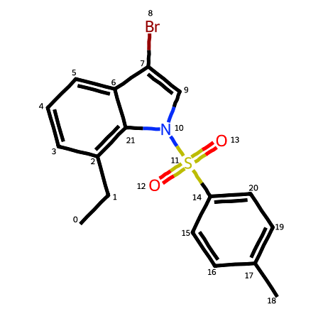 CCc1cccc2c(Br)cn(S(=O)(=O)c3ccc(C)cc3)c12